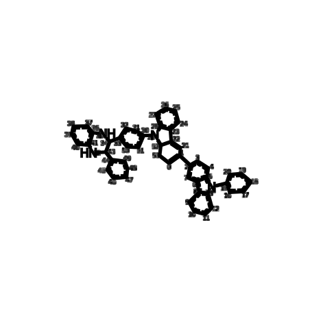 C1=C(c2ccc3c(c2)c2ccccc2n3-c2ccccc2)C=C2c3ccccc3N(c3ccc(C4Nc5ccccc5NC4c4ccccc4)cc3)C2C1